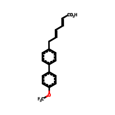 O=C(O)/C=C/C=C/Cc1ccc(-c2ccc(OC(F)(F)F)cc2)cc1